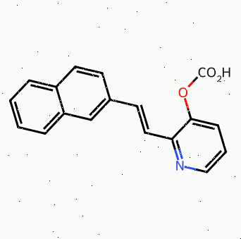 O=C(O)Oc1cccnc1C=Cc1ccc2ccccc2c1